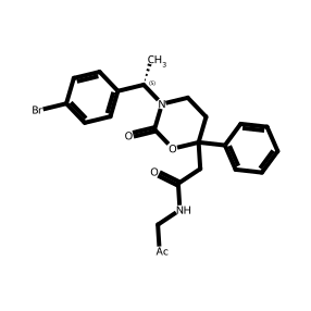 CC(=O)CNC(=O)CC1(c2ccccc2)CCN([C@@H](C)c2ccc(Br)cc2)C(=O)O1